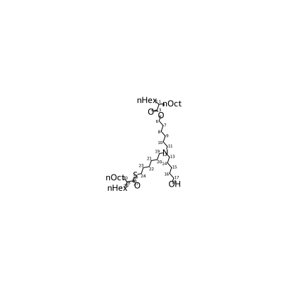 CCCCCCCCC(CCCCCC)C(=O)OCCCCCCN(CCCCCO)CCCCCCSC(=O)C(CCCCCC)CCCCCCCC